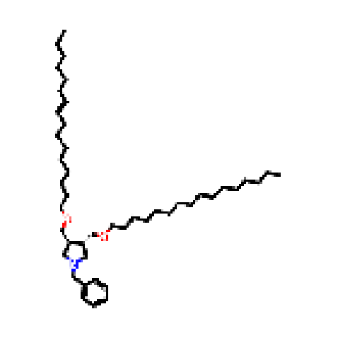 CCCCCCC=CCCCCCCCCOC[C@@H]1CN(Cc2ccccc2)C[C@H]1COCCCCCCCCC=CCCCCCC